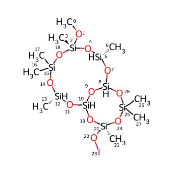 CO[Si@]1(C)O[Si@H](C)O[SiH]2O[SiH](O[Si@H](C)O[Si](C)(C)O1)O[Si@](C)(OI)O[Si](C)(C)O2